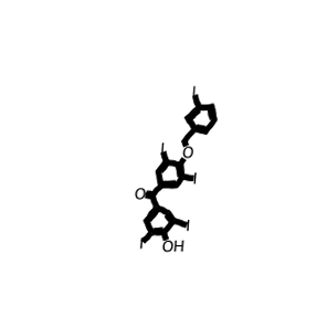 O=C(c1cc(I)c(O)c(I)c1)c1cc(I)c(OCc2cccc(I)c2)c(I)c1